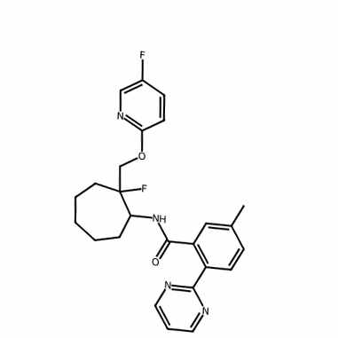 Cc1ccc(-c2ncccn2)c(C(=O)NC2CCCCCC2(F)COc2ccc(F)cn2)c1